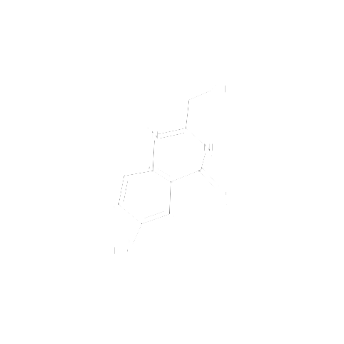 CCc1nc2ccc(C)cc2c(=O)[nH]1